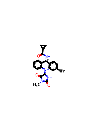 CC(C)c1ccc([C@@H](NC(=O)C2CC2)c2ccccc2NC2NC(=O)N(C)C2=O)cc1